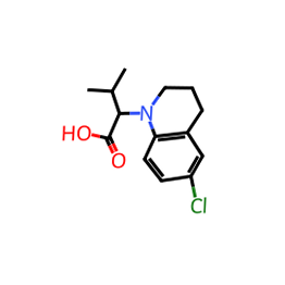 CC(C)C(C(=O)O)N1CCCc2cc(Cl)ccc21